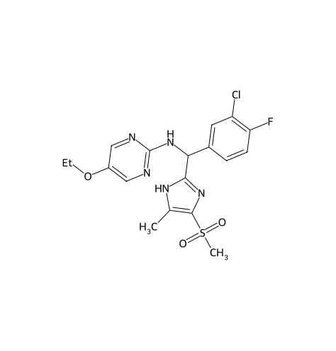 CCOc1cnc(NC(c2ccc(F)c(Cl)c2)c2nc(S(C)(=O)=O)c(C)[nH]2)nc1